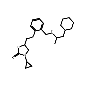 CC(CC1CCCCC1)NCc1ccccc1OCC1CN(C2CC2)C(=O)O1